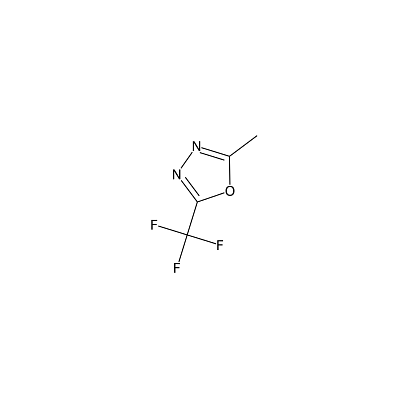 Cc1nnc(C(F)(F)F)o1